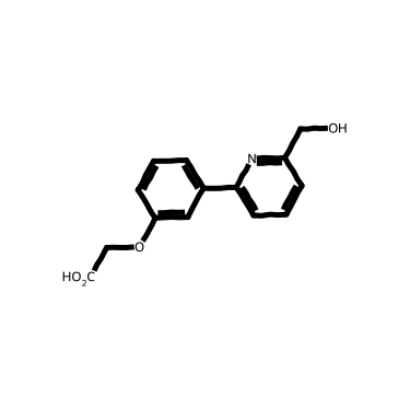 O=C(O)COc1cccc(-c2cccc(CO)n2)c1